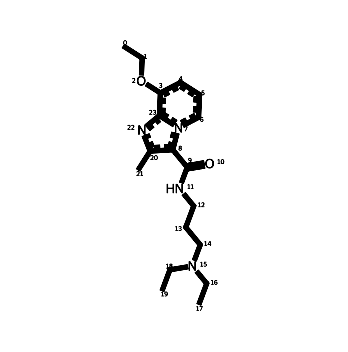 CCOc1cccn2c(C(=O)NCCCN(CC)CC)c(C)nc12